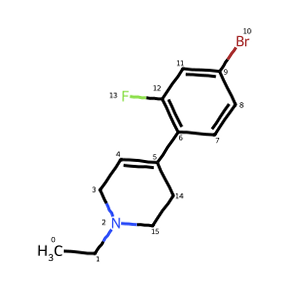 CCN1CC=C(c2ccc(Br)cc2F)CC1